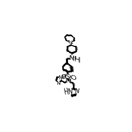 O=S(=O)(c1ccc(CN[C@H]2CC[C@H](N3CCC=CCC3)CC2)cc1)N(Cc1ncc[nH]1)Cc1ncc[nH]1